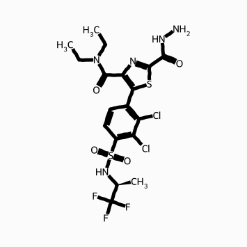 CCN(CC)C(=O)c1nc(C(=O)NN)sc1-c1ccc(S(=O)(=O)N[C@@H](C)C(F)(F)F)c(Cl)c1Cl